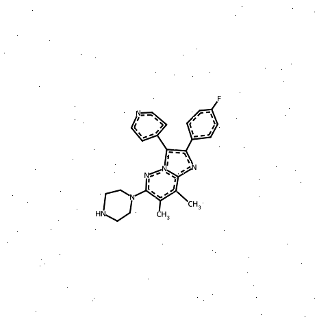 Cc1c(N2CCNCC2)nn2c(-c3ccncc3)c(-c3ccc(F)cc3)nc2c1C